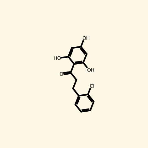 O=C(CCc1ccccc1Cl)c1c(O)cc(O)cc1O